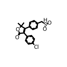 CC1(C)OC(=O)C(c2ccc(Cl)cc2)=C1c1ccc(C[SH](=O)=O)cc1